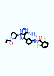 C=CC(=O)N1CCCC(n2nc(-c3cccc(CNC(=O)c4c(F)cccc4F)c3)c3c(N)ncnc32)C1